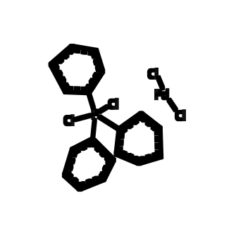 ClP(Cl)(c1ccccc1)(c1ccccc1)c1ccccc1.[Cl][Pd][Cl]